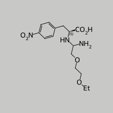 CCOCCOCC(N)N[C@@H](Cc1ccc([N+](=O)[O-])cc1)C(=O)O